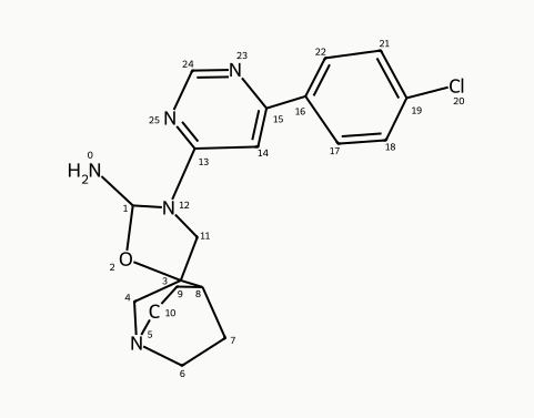 NC1OC2(CN3CCC2CC3)CN1c1cc(-c2ccc(Cl)cc2)ncn1